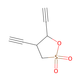 C#CC1CS(=O)(=O)OC1C#C